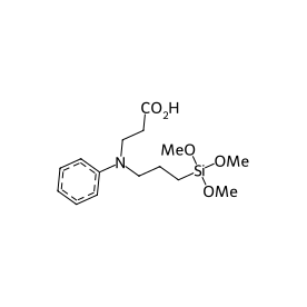 CO[Si](CCCN(CCC(=O)O)c1ccccc1)(OC)OC